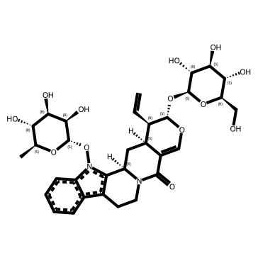 C=C[C@H]1[C@H](O[C@@H]2O[C@H](CO)[C@@H](O)[C@H](O)[C@H]2O)OC=C2C(=O)N3CCc4c(n(O[C@@H]5O[C@@H](C)[C@H](O)[C@@H](O)[C@H]5O)c5ccccc45)[C@H]3C[C@H]21